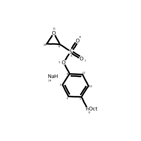 CCCCCCCCc1ccc(OS(=O)(=O)C2CO2)cc1.[NaH]